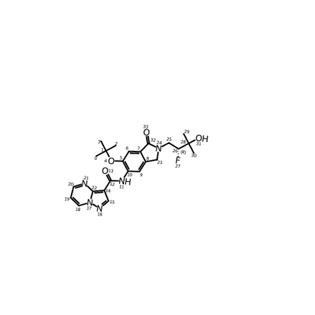 CC(C)(C)Oc1cc2c(cc1NC(=O)c1cnn3cccnc13)CN(C[C@@H](F)C(C)(C)O)C2=O